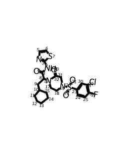 O=C(Nc1nccs1)C(CC1CCCCC1)N1CCN(S(=O)(=O)c2ccc(F)c(Cl)c2)CC1=O